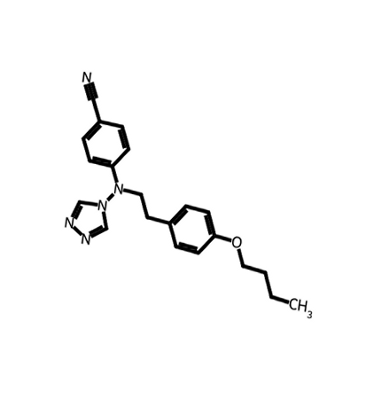 CCCCOc1ccc(CCN(c2ccc(C#N)cc2)n2cnnc2)cc1